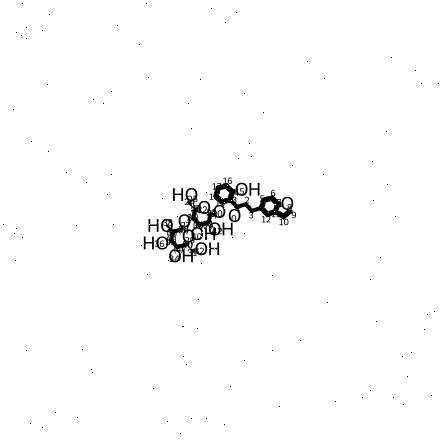 O=C(CCc1ccc2occc2c1)c1c(O)cccc1O[C@@H]1O[C@H](CO)[C@@H](O[C@H]2O[C@H](CO)[C@@H](O)[C@H](O)[C@H]2O)[C@H](O)[C@H]1O